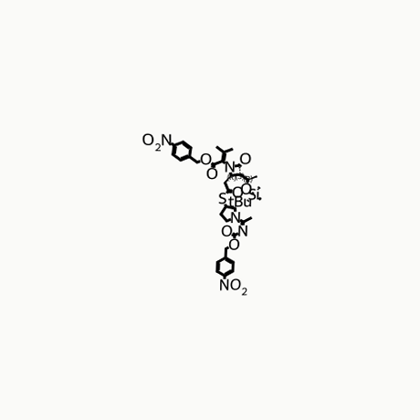 CC(=NC(=O)OCc1ccc([N+](=O)[O-])cc1)N1CCC(SC(=O)C[C@@H]2[C@@H]([C@@H](C)O[Si](C)(C)C(C)(C)C)C(=O)N2C(C(=O)OCc2ccc([N+](=O)[O-])cc2)=C(C)C)C1